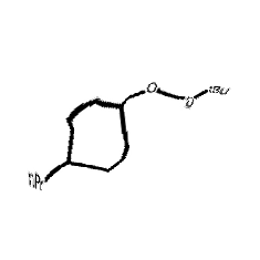 CCCC1CCC(OOC(C)(C)C)CC1